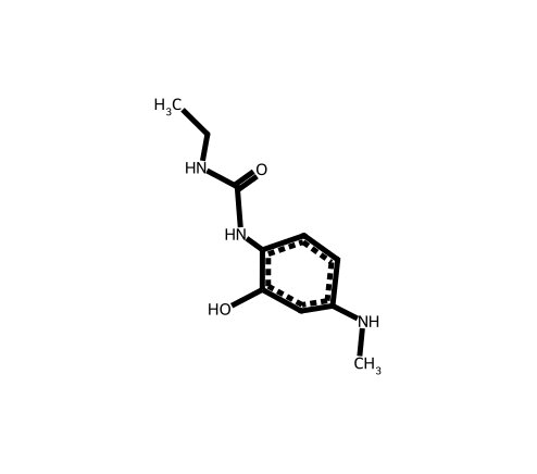 CCNC(=O)Nc1ccc(NC)cc1O